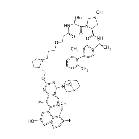 C#Cc1c(F)ccc2cc(O)cc(-c3ncc4c(N5CC6CCC(C5)N6)nc(OC[C@@H]5CCCN5CCCOCCC(=O)N[C@H](C(=O)N5C[C@H](O)C[C@H]5C(=O)N[C@@H](C)c5ccc(-c6c(C)cccc6C(F)(F)F)cc5)C(C)(C)C)nc4c3F)c12